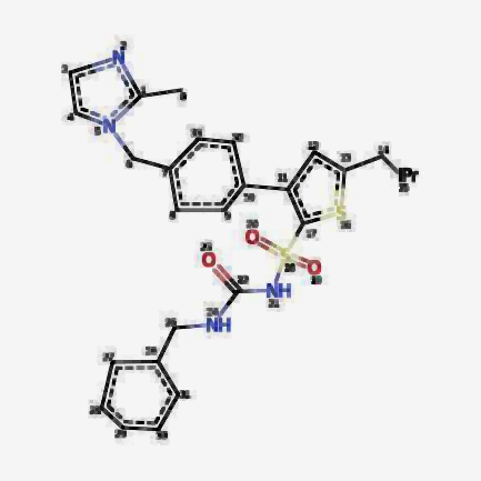 Cc1nccn1Cc1ccc(-c2cc(CC(C)C)sc2S(=O)(=O)NC(=O)NCc2ccccc2)cc1